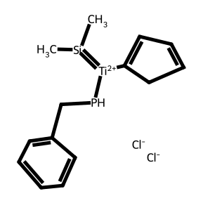 C[Si](C)=[Ti+2]([PH]Cc1ccccc1)[C]1=CC=CC1.[Cl-].[Cl-]